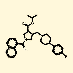 CC(C)OC(=O)C1CN(C(=O)c2cccc3ccccc23)CC1CN1CCC(c2ccc(F)cc2)CC1